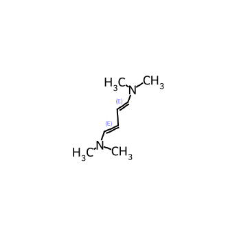 CN(C)/C=C/C=C/N(C)C